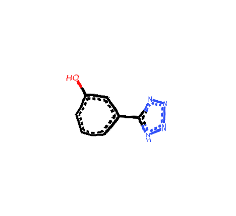 Oc1[c]c(-c2nnn[nH]2)ccc1